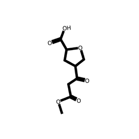 COC(=O)CC(=O)C1COC(C(=O)O)C1